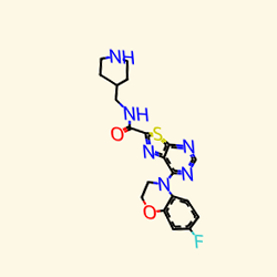 O=C(NCC1CCNCC1)c1nc2c(N3CCOc4cc(F)ccc43)ncnc2s1